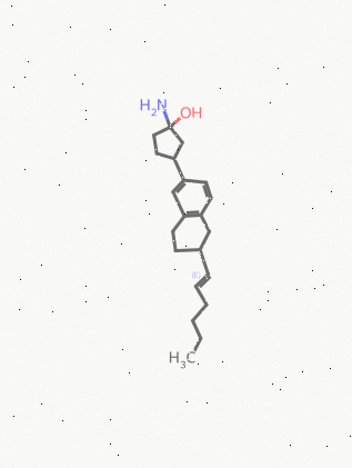 CCCC/C=C/C1CCc2cc(C3CCC(N)(O)C3)ccc2C1